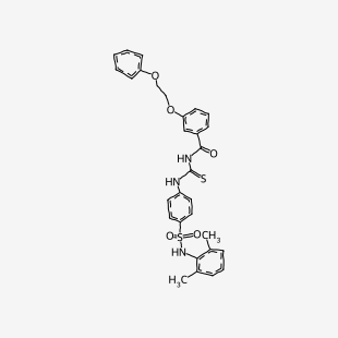 Cc1cccc(C)c1NS(=O)(=O)c1ccc(NC(=S)NC(=O)c2cccc(OCCOc3ccccc3)c2)cc1